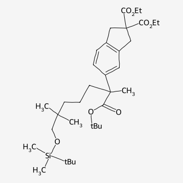 CCOC(=O)C1(C(=O)OCC)Cc2ccc(C(C)(CCCC(C)(C)CO[Si](C)(C)C(C)(C)C)C(=O)OC(C)(C)C)cc2C1